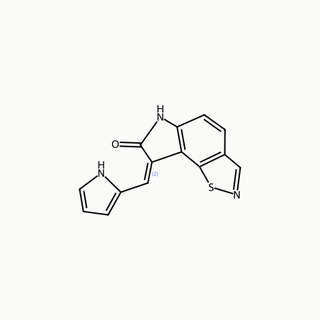 O=C1Nc2ccc3cnsc3c2/C1=C/c1ccc[nH]1